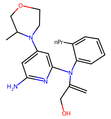 C=C(CO)N(c1cc(N2CCOCC2C)cc(N)n1)c1ccccc1CCC